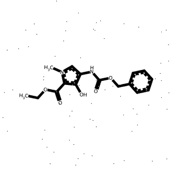 CCOC(=O)c1c(O)c(NC(=O)OCc2ccccc2)cn1C